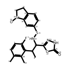 Cc1ccc(F)c(C(C)C(NSc2ccc3c(c2)[S+]([O-])CC3)c2n[nH]c(=O)o2)c1C